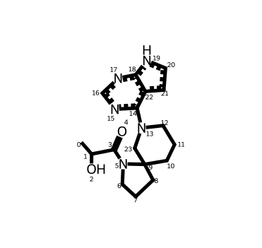 CC(O)C(=O)N1CCCC12CCCN(c1ncnc3[nH]ccc13)C2